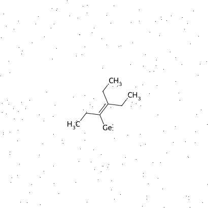 CC[C]([Ge])=C(CC)CC